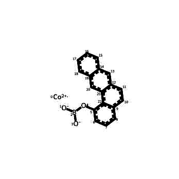 [Co+2].[O-]B([O-])Oc1cccc2ccc3cc4ccccc4cc3c12